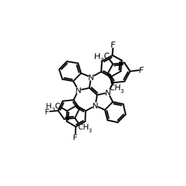 Cc1cc(F)cc(N2C(=C3N(c4cc(C)cc(F)c4)c4ccccc4N3c3cc(F)ccc3C)N(c3cc(C)cc(F)c3)c3ccccc32)c1